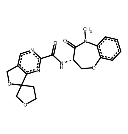 CN1C(=O)[C@@H](NC(=O)c2ncc3c(n2)C2(CCOC2)OC3)COc2ccccc21